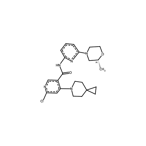 C[C@@H]1CN(c2cccc(NC(=O)c3cnc(Cl)cc3N3CCC4(CC3)CC4)n2)CCO1